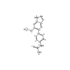 COc1cc2[nH]ncc2cc1-c1ccc(NC(=O)O)nc1